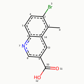 Cc1c(Br)ccc2ncc(C(=O)O)cc12